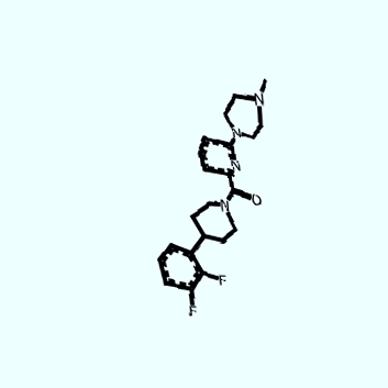 CN1CCN(c2cccc(C(=O)N3CCC(c4cccc(F)c4F)CC3)n2)CC1